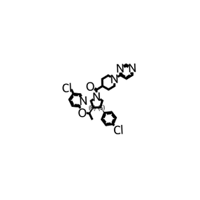 CC(Oc1ccc(Cl)cn1)[C@H]1CN(C(=O)C2CCN(c3ccncn3)CC2)C[C@@H]1c1ccc(Cl)cc1